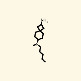 CCCCCN(C)C1CCC2(CC1)CC(N)C2